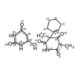 CN1C(=O)NC(=O)C(C)(C2=CCCCC2)C1=O.O=c1cc(O)[nH]c(=O)[nH]1